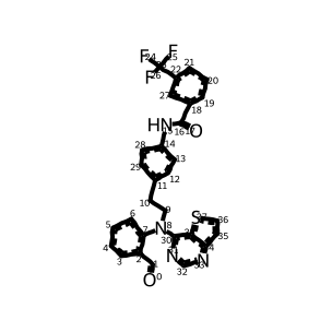 O=Cc1ccccc1N(CCc1ccc(NC(=O)c2cccc(C(F)(F)F)c2)cc1)c1ncnc2ccsc12